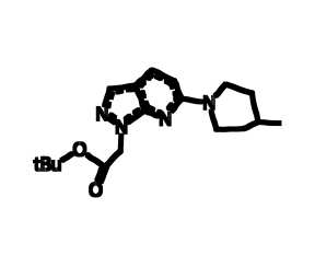 CC1CCN(c2ccc3cnn(CC(=O)OC(C)(C)C)c3n2)CC1